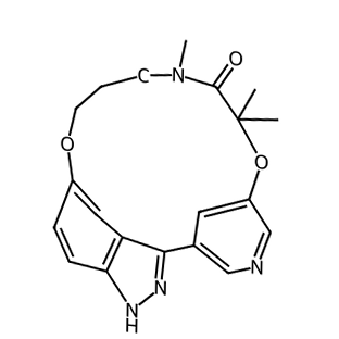 CN1CCCOc2ccc3[nH]nc(c3c2)-c2cncc(c2)OC(C)(C)C1=O